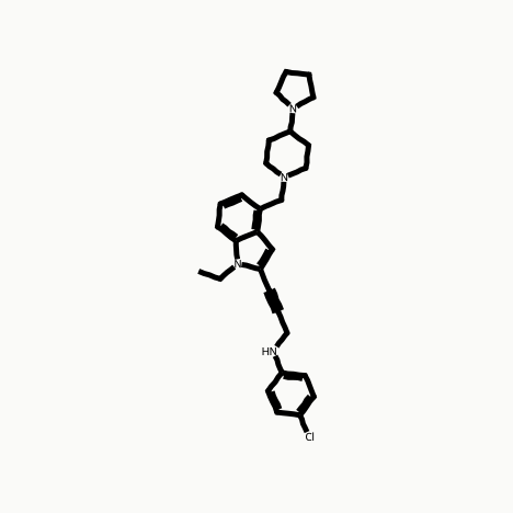 CCn1c(C#CCNc2ccc(Cl)cc2)cc2c(CN3CCC(N4CCCC4)CC3)cccc21